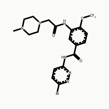 CN1CCN(CC(=O)Nc2cc(C(=O)Nc3ccc(Br)nn3)ccc2OC(F)(F)F)CC1